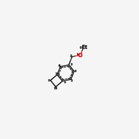 CCOCc1ccc2c(c1)CC2